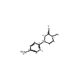 CN1CCN(c2ccc(N)cn2)CC1=O